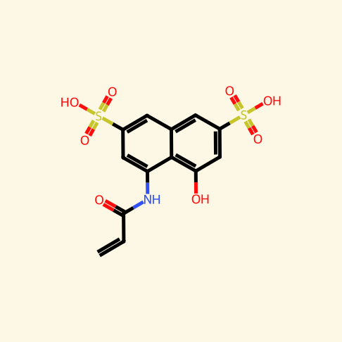 C=CC(=O)Nc1cc(S(=O)(=O)O)cc2cc(S(=O)(=O)O)cc(O)c12